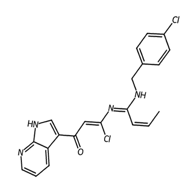 C\C=C/C(=N\C(Cl)=C\C(=O)c1c[nH]c2ncccc12)NCc1ccc(Cl)cc1